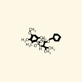 COc1cc(C)c(S(=O)(=O)NC(C(=O)OCc2ccccc2)C(C)C)c(C)c1C